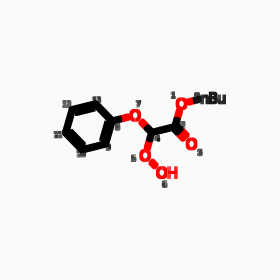 CCCCOC(=O)C(OO)Oc1ccccc1